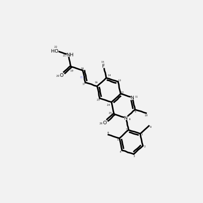 Cc1cccc(C)c1-n1c(C)nc2cc(F)c(/C=C/C(=O)NO)cc2c1=O